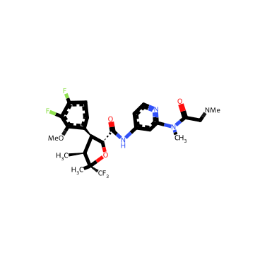 CNCC(=O)N(C)c1cc(NC(=O)[C@@H]2O[C@@](C)(C(F)(F)F)[C@@H](C)[C@H]2c2ccc(F)c(F)c2OC)ccn1